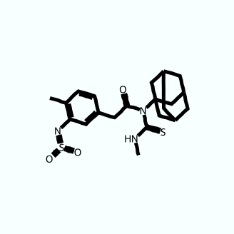 CNC(=S)N(C(=O)Cc1ccc(C)c(N=S(=O)=O)c1)C12CC3CC(CC(C3)C1)C2